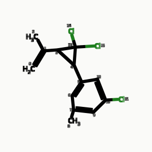 C=C(C)C1C(c2cc(C)cc(Cl)c2)C1(Cl)Cl